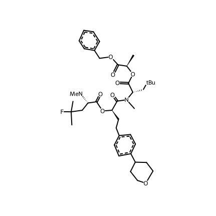 CN[C@@H](CC(C)(C)F)C(=O)O[C@H](CCc1ccc(C2CCOCC2)cc1)C(=O)N(C)[C@@H](CC(C)(C)C)C(=O)O[C@H](C)C(=O)OCc1ccccc1